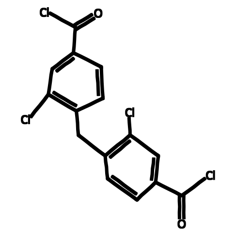 O=C(Cl)c1ccc(Cc2ccc(C(=O)Cl)cc2Cl)c(Cl)c1